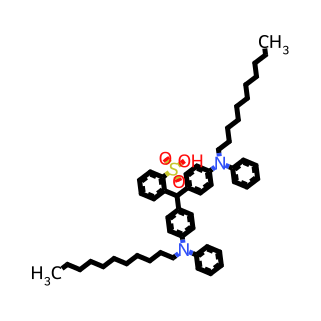 CCCCCCCCCCCN(c1ccccc1)c1ccc(C(c2ccc(N(CCCCCCCCCCC)c3ccccc3)cc2)c2ccccc2S(=O)(=O)O)cc1